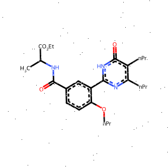 CCCOc1ccc(C(=O)NC(C)C(=O)OCC)cc1-c1nc(CCC)c(CCC)c(=O)[nH]1